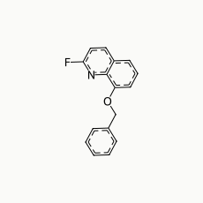 Fc1ccc2cccc(OCc3ccccc3)c2n1